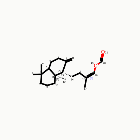 C=C1CCC2C(C)(C)CCC[C@]2(C)[C@H]1CC/C(C)=C\OC=O